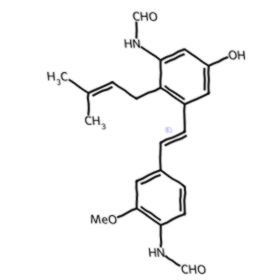 COc1cc(/C=C/c2cc(O)cc(NC=O)c2CC=C(C)C)ccc1NC=O